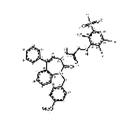 COc1ccc(CN2C(=O)[C@@H](NC(=O)CNc3c(F)c(F)nc(S(C)(=O)=O)c3F)N=C(c3ccccc3)c3ccccc32)cc1